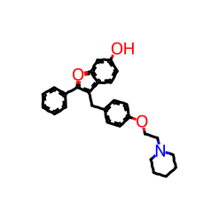 Oc1ccc2c(Cc3ccc(OCCN4CCCCC4)cc3)c(-c3ccccc3)oc2c1